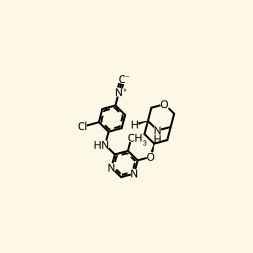 [C-]#[N+]c1ccc(Nc2ncnc(O[C@@H]3CC4COC[C@@H](C3)N4)c2C)c(Cl)c1